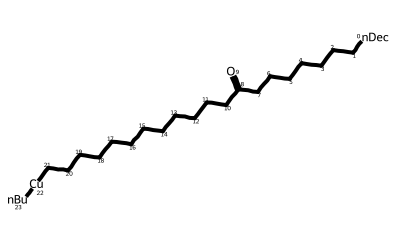 CCCCCCCCCCCCCCCCCC(=O)CCCCCCCCCCC[CH2][Cu][CH2]CCC